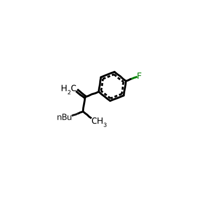 C=C(c1ccc(F)cc1)C(C)CCCC